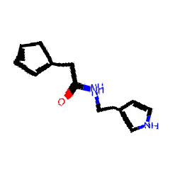 O=C(CC1=CC=CC1)NCc1cc[nH]c1